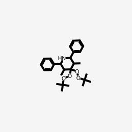 CC1C(c2ccccc2)NC(c2ccccc2)C(C)C1(OOC(C)(C)C)OOC(C)(C)C